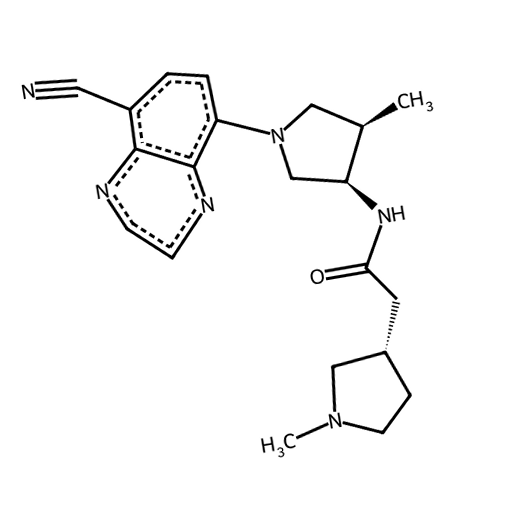 C[C@@H]1CN(c2ccc(C#N)c3nccnc23)C[C@@H]1NC(=O)C[C@@H]1CCN(C)C1